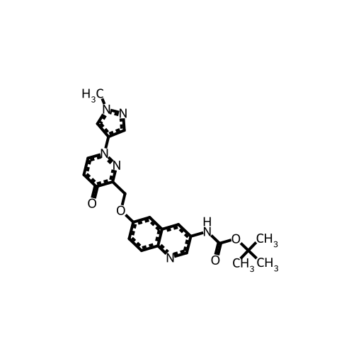 Cn1cc(-n2ccc(=O)c(COc3ccc4ncc(NC(=O)OC(C)(C)C)cc4c3)n2)cn1